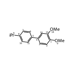 COc1ccc(-c2ccc(C(C)C)cc2)cc1OC